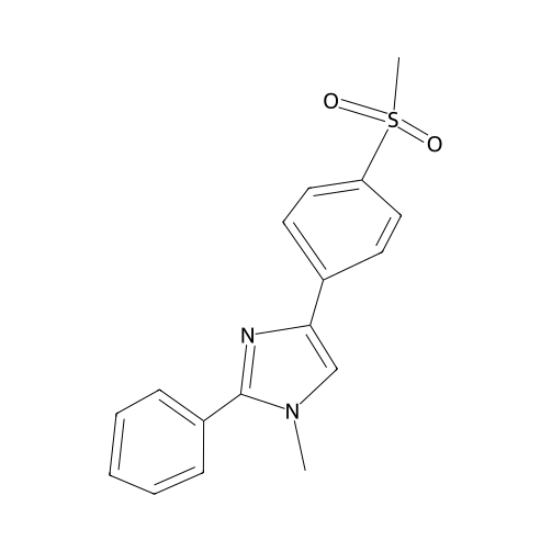 Cn1cc(-c2ccc(S(C)(=O)=O)cc2)nc1-c1ccccc1